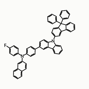 Fc1ccc(N(c2ccc(-c3ccc4c(c3)c3ccccc3n4-c3ccc4c(c3)-c3ccccc3C4(c3ccccc3)c3ccccc3)cc2)c2ccc3ccccc3c2)cc1